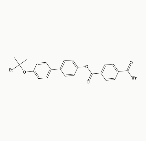 CCC(C)(C)Oc1ccc(-c2ccc(OC(=O)c3ccc(C(=O)C(C)C)cc3)cc2)cc1